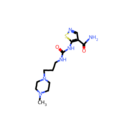 CN1CCN(CCCNC(=O)Nc2sncc2C(N)=O)CC1